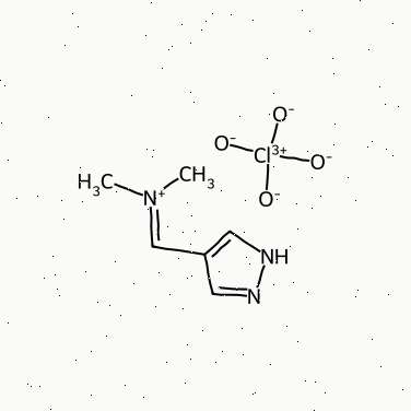 C[N+](C)=Cc1cn[nH]c1.[O-][Cl+3]([O-])([O-])[O-]